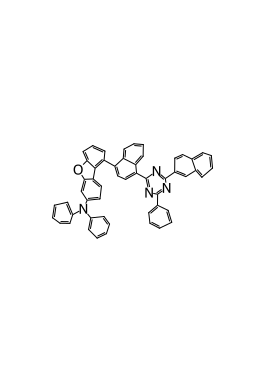 c1ccc(-c2nc(-c3ccc4ccccc4c3)nc(-c3ccc(-c4cccc5oc6cc(N(c7ccccc7)c7ccccc7)ccc6c45)c4ccccc34)n2)cc1